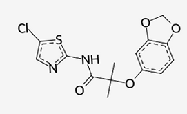 CC(C)(Oc1ccc2c(c1)OCO2)C(=O)Nc1ncc(Cl)s1